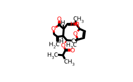 C=C1COC(=O)[C@@H]2/C=C(/C)[C@@]3(O)C=C[C@@](C)(C[C@@H](OC(=O)C(C)C)[C@@H]12)O3